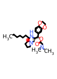 CCCCCCC(=O)N[C@H](CN1CCCC1)[C@H](OC(=O)CN(C)C)c1ccc2c(c1)OCCO2